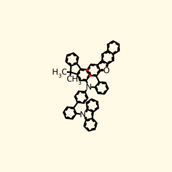 CC1(C)c2ccccc2-c2ccc(N(c3ccc(-c4ccccc4-n4c5ccccc5c5ccccc54)cc3)c3ccccc3-c3cccc4c3oc3cc5ccccc5cc34)cc21